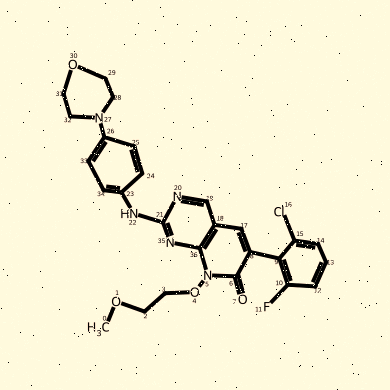 COCCOn1c(=O)c(-c2c(F)cccc2Cl)cc2cnc(Nc3ccc(N4CCOCC4)cc3)nc21